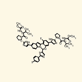 COC(=O)N[C@H](C(=O)N1CCC[C@H]1c1ncc(-c2cc(F)c3c(c2)OC(c2cnc(-c4ccc(F)cc4)s2)n2c-3cc3cc(-c4cnc([C@@H]5CCCN5C(=O)[C@@H](NC(=O)OC)C(C)C)[nH]4)ccc32)[nH]1)C(C)C